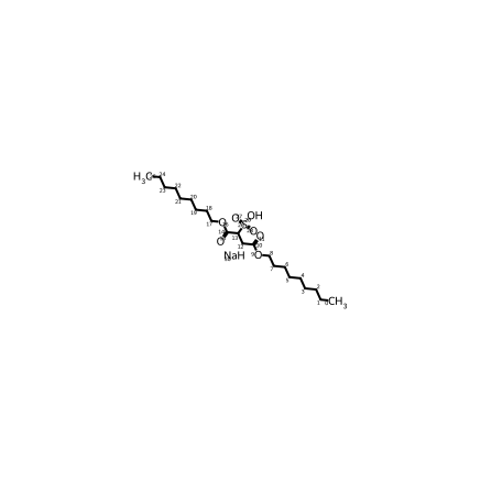 CCCCCCCCCOC(=O)CC(C(=O)OCCCCCCCCC)S(=O)(=O)O.[NaH]